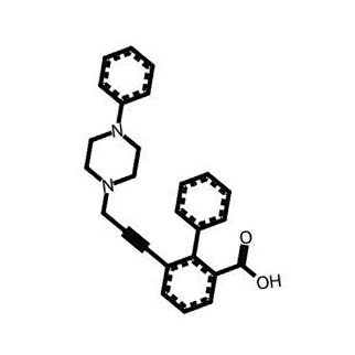 O=C(O)c1cccc(C#CCN2CCN(c3ccccc3)CC2)c1-c1ccccc1